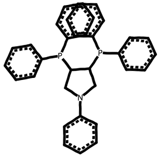 c1ccc(N2CC(P(c3ccccc3)c3ccccc3)C(P(c3ccccc3)c3ccccc3)C2)cc1